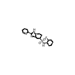 O=S(=O)(Nc1ccccc1F)c1ccc2[nH]c(-c3ccccn3)nc2c1